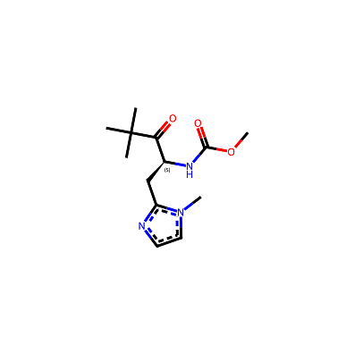 COC(=O)N[C@@H](Cc1nccn1C)C(=O)C(C)(C)C